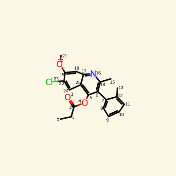 CCC(=O)Oc1c(-c2ccccc2C)c(C)nc2cc(OC)c(Cl)cc12